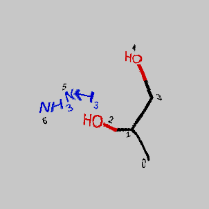 CC(O)CO.N.N